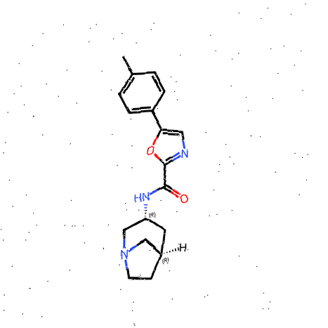 Cc1ccc(-c2cnc(C(=O)N[C@@H]3C[C@H]4CCN(C4)C3)o2)cc1